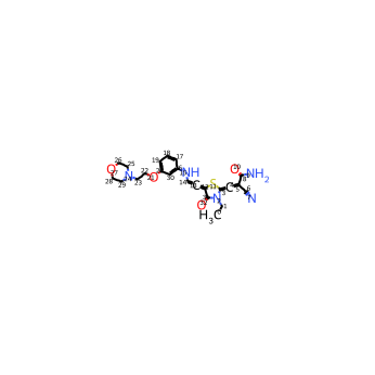 CCn1c(=C=C(C#N)C(N)=O)sc(=C=CNc2cccc(OCCN3CCOCC3)c2)c1=O